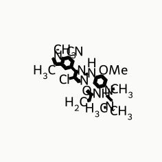 C=CC(=O)Nc1cc(Nc2ncc(Cl)c(-c3cc(C#N)c4c(c3)c(C)cn4C)n2)c(OC)cc1N(C)CCN(C)C